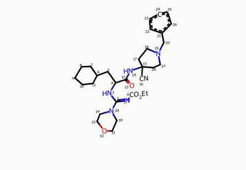 CCOC(=O)/N=C(\NC(CC1CCCCC1)C(=O)NC1(C#N)CCN(Cc2ccccc2)CC1)N1CCOCC1